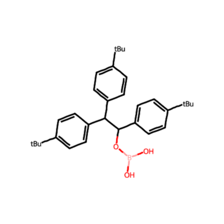 CC(C)(C)c1ccc(C(OB(O)O)C(c2ccc(C(C)(C)C)cc2)c2ccc(C(C)(C)C)cc2)cc1